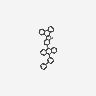 c1ccc(-c2cccc(-c3c4ccccc4c(-c4ccc5c(c4)[nH]c4c6ccccc6c6ccccc6c54)c4ccccc34)c2)cc1